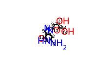 Nc1cc2c(cnn2[C@H]2C[C@H](O)[C@@H](CO)O2)c(=O)[nH]1